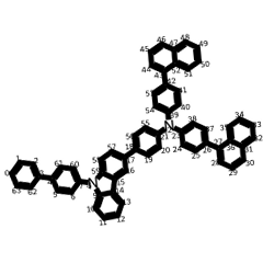 c1ccc(-c2ccc(-n3c4ccccc4c4cc(-c5ccc(N(c6ccc(-c7cccc8ccccc78)cc6)c6ccc(-c7cccc8ccccc78)cc6)cc5)ccc43)cc2)cc1